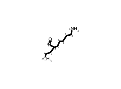 CCCC(CCCCCN)N=O